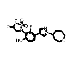 O=C1CN(c2c(O)ccc(-c3cnn(C4CCCOCC4)c3)c2F)S(=O)(=O)N1